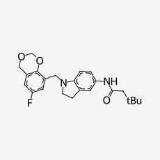 CC(C)(C)CC(=O)Nc1ccc2c(c1)CCN2Cc1cc(F)cc2c1OCOC2